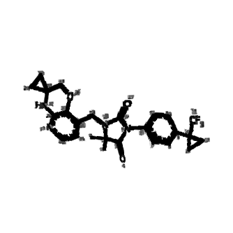 CC1(C)C(=O)N(c2ccc(C3(C(F)(F)F)CC3)cc2)C(=O)N1Cc1ccnc2c1OCC1(CC1)N2